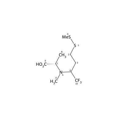 CSSCCC(N(C)[C@@H](C)C(=O)O)C(F)(F)F